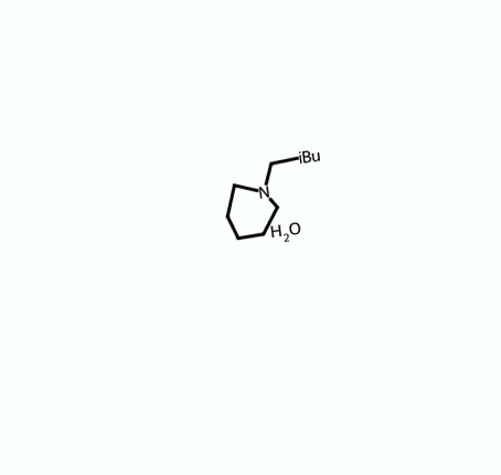 CCC(C)CN1CCCCC1.O